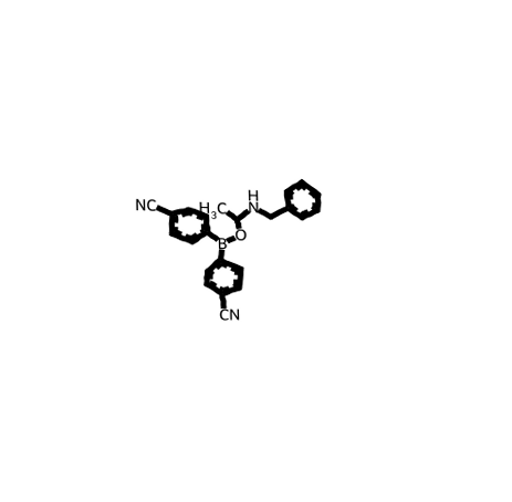 CC(NCc1ccccc1)OB(c1ccc(C#N)cc1)c1ccc(C#N)cc1